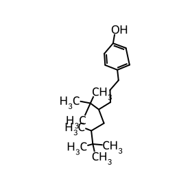 CC(CC(CCCc1ccc(O)cc1)C(C)(C)C)C(C)(C)C